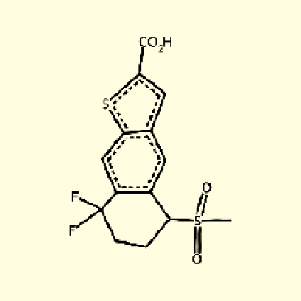 CS(=O)(=O)C1CCC(F)(F)c2cc3sc(C(=O)O)cc3cc21